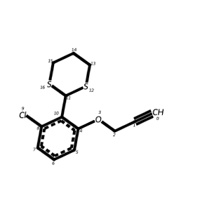 C#CCOc1cccc(Cl)c1C1SCCCS1